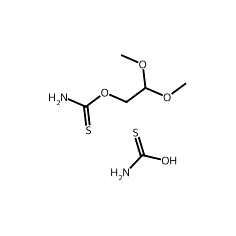 COC(COC(N)=S)OC.NC(O)=S